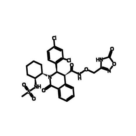 CS(=O)(=O)N[C@H]1CCCC[C@@H]1N1C(=O)c2ccccc2[C@@H](C(=O)NOCc2noc(=O)[nH]2)[C@@H]1c1ccc(Cl)cc1Cl